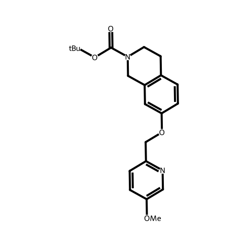 COc1ccc(COc2ccc3c(c2)CN(C(=O)OC(C)(C)C)CC3)nc1